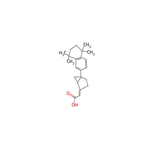 CC1(C)CCC(C)(C)c2cc(C34CCC(=CC(=O)O)C3C4)ccc21